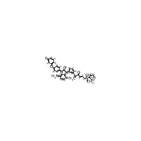 CN(C(=O)/C=C/C[N+](C)(C)C1CCOC1)c1cccc(-n2c(=O)n(-c3ccc(Oc4cccc(F)c4)cc3)c3c(N)ncnc32)c1